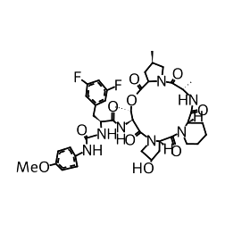 COc1ccc(NC(=O)N[C@@H](Cc2cc(F)cc(F)c2)C(=O)N[C@@H]2C(=O)N3C[C@H](O)C[C@H]3C(=O)N3CCCC[C@H]3C(=O)N[C@@H](C)C(=O)N3C[C@H](C)CC3C(=O)O[C@H]2C)cc1